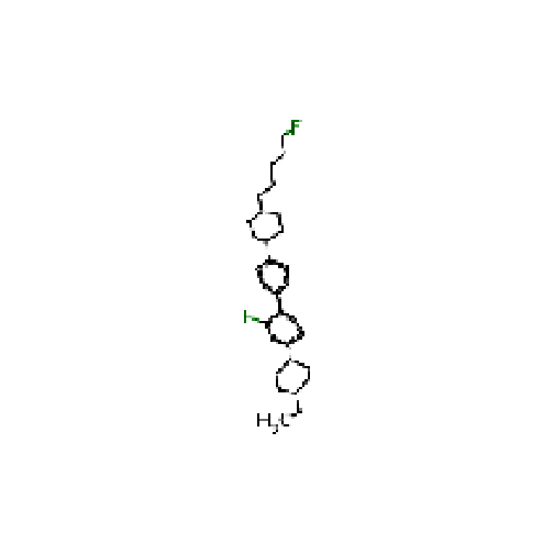 CC[C@H]1CC[C@H](c2ccc(-c3ccc([C@H]4CC[C@H](CCCCCF)CC4)cc3)c(F)c2)CC1